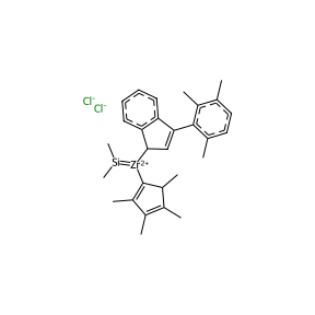 CC1=C(C)C(C)[C]([Zr+2]([CH]2C=C(c3c(C)ccc(C)c3C)c3ccccc32)=[Si](C)C)=C1C.[Cl-].[Cl-]